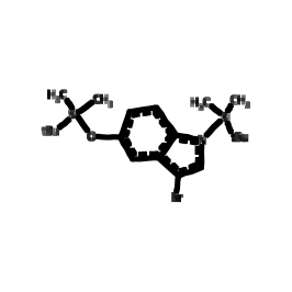 CC(C)(C)[Si](C)(C)Oc1ccc2c(c1)c(Br)cn2[Si](C)(C)C(C)(C)C